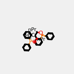 CCCC(OP(c1ccccc1)c1ccccc1)C(C)C(CCC)OP(c1ccccc1)c1ccccc1